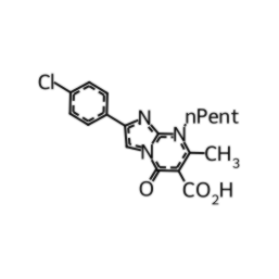 CCCCCn1c(C)c(C(=O)O)c(=O)n2cc(-c3ccc(Cl)cc3)nc12